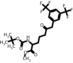 COC(=O)C(CCCC(=O)Cc1cc(C(F)(F)F)cc(C(F)(F)F)c1)NC(=O)OC(C)(C)C